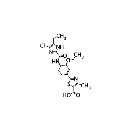 CCO[C@H]1C=C(c2nc(C)c(C(=O)O)s2)CC[C@H]1NC(=O)c1nc(Cl)c(CC)[nH]1